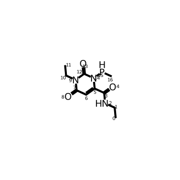 CCNC(=O)c1cc(=O)n(CC)c(=O)n1PC